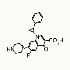 O=C(O)c1cn([C@@H]2C[C@H]2c2ccccc2)c2cc(N3CCNCC3)c(F)cc2c1=O